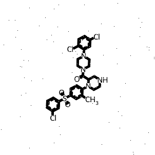 Cc1cc(S(=O)(=O)c2cccc(Cl)c2)ccc1N1CCNCC1C(=O)N1CCN(c2cc(Cl)ccc2Cl)CC1